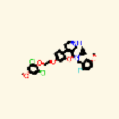 COc1cc(Cl)c(OCCOc2ccc(C3=C(C(=O)N(Cc4cc(OC)ccc4F)C4CC4)CNCC3)cc2)c(Cl)c1